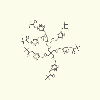 CC(C)(C)C(=O)Cn1cc(COCC(COCc2cn(CC(=O)C(C)(C)C)nn2)(COCc2cn(CC(=O)C(C)(C)C)nn2)COCC(COCc2cn(CC(=O)C(C)(C)C)nn2)(COCc2cn(CC(=O)C(C)(C)C)nn2)COCc2cn(CC(=O)C(C)(C)C)nn2)nn1